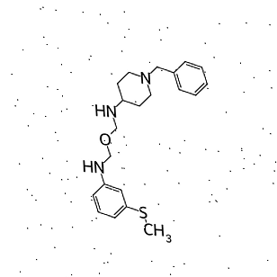 CSc1cccc(NCOCNC2CCN(Cc3ccccc3)CC2)c1